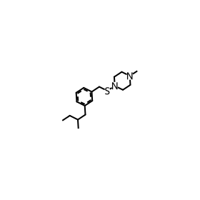 CCC(C)Cc1cccc(CSN2CCN(C)CC2)c1